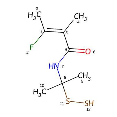 C/C(F)=C(\C)C(=O)NC(C)(C)SS